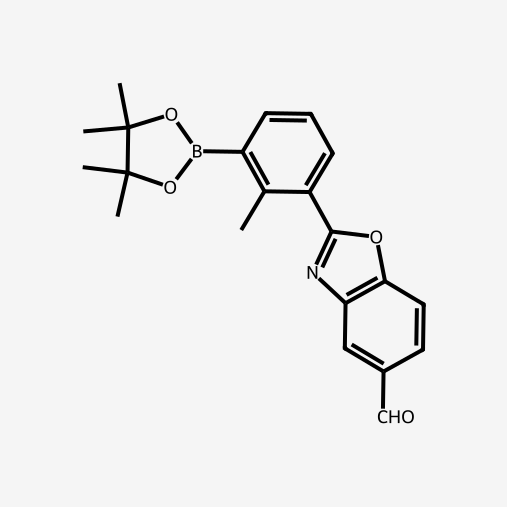 Cc1c(B2OC(C)(C)C(C)(C)O2)cccc1-c1nc2cc(C=O)ccc2o1